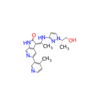 C/C(Nc1ccn([C@@H](C)CO)n1)=C1/C(=O)Nc2cnc(-c3cnccc3C)cc21